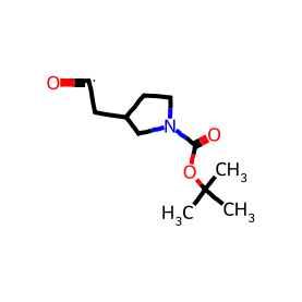 CC(C)(C)OC(=O)N1CCC(C[C]=O)C1